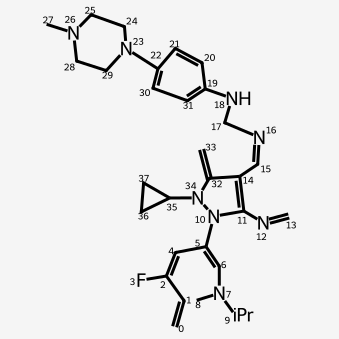 C=C/C(F)=C\C(=C/N(C)C(C)C)N1C(N=C)=C(/C=N\CNc2ccc(N3CCN(C)CC3)cc2)C(=C)N1C1CC1